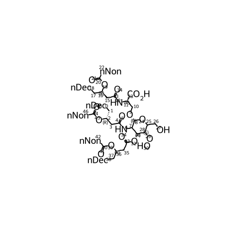 CCCCCCCCCCC[C@H](CC(=O)NC1[C@H](OC[C@@H](NC(=O)C[C@@H](CCCCCCCCCCC)OC(=O)CCCCCCCCC)C(=O)O)OC(CO)[C@@H](OO)[C@@H]1OC(=O)C[C@@H](CCCCCCCCCCC)OC(=O)CCCCCCCCC)OC(=O)CCCCCCCCC